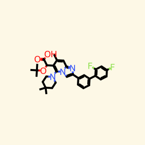 Cc1cc2nc(-c3cccc(-c4ccc(F)cc4F)c3)cn2c(N2CCC(C)(C)CC2)c1C(OC(C)(C)C)C(=O)O